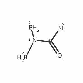 BN(B)C(=O)S